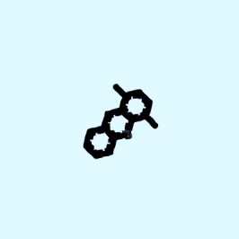 Cc1ccc(C)c2cc3ccccc3bc12